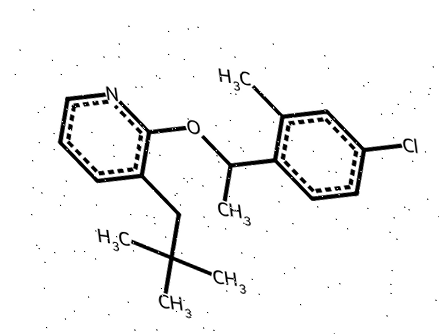 Cc1cc(Cl)ccc1C(C)Oc1ncccc1CC(C)(C)C